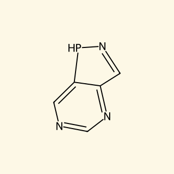 c1ncc2[pH]ncc2n1